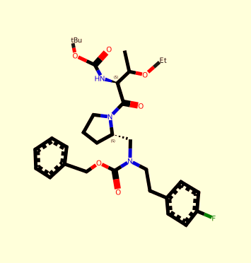 CCOC(C)[C@H](NC(=O)OC(C)(C)C)C(=O)N1CCC[C@H]1CN(CCc1ccc(F)cc1)C(=O)OCc1ccccc1